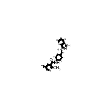 Cc1ncc(Cl)cc1C(=O)NC1CCC(CNc2n[nH]c3cccnc23)CC1